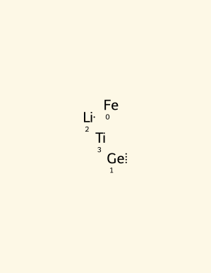 [Fe].[Ge].[Li].[Ti]